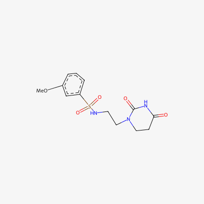 COc1cccc(S(=O)(=O)NCCN2CCC(=O)NC2=O)c1